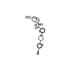 N#Cc1ccc(C2CCN(c3cccc(C(=O)N[C@H]4C5CC6CC4C[C@](O)(C6)C5)n3)CC2)nc1